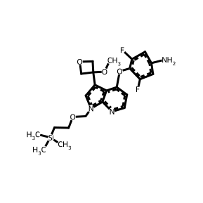 COC1(c2cn(COCC[Si](C)(C)C)c3nccc(Oc4c(F)cc(N)cc4F)c23)COC1